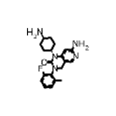 Cc1cccc(F)c1N1Cc2cnc(N)cc2N([C@H]2CC[C@H](N)CC2)C1=O